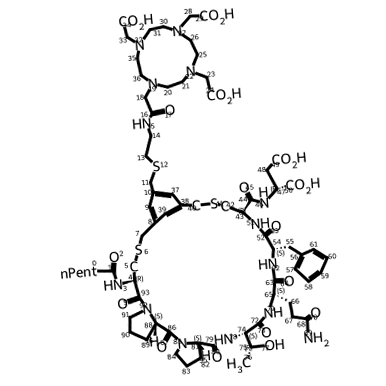 CCCCCC(=O)N[C@H]1CSCc2cc(CSCCNC(=O)CN3CCN(CC(=O)O)CCN(CC(=O)O)CCN(CC(=O)O)CC3)cc(c2)CSC[C@@H](C(=O)N[C@H](CC(=O)O)C(=O)O)NC(=O)[C@H](Cc2ccccc2)NC(=O)[C@H](CCC(N)=O)NC(=O)[C@H]([C@@H](C)O)NC(=O)[C@@H]2CCCN2C(=O)[C@@H]2CCCN2C1=O